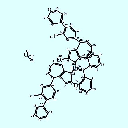 CCC1=CC2=C(C=CC=CC2c2ccc(-c3ccccc3)c(F)c2)[CH]1[Hf+2](=[C](c1ccccc1)c1ccccc1)[CH]1C(CC)=CC2=C1C=CC=CC2c1ccc(-c2ccccc2)c(F)c1.[Cl-].[Cl-]